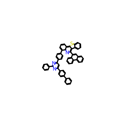 c1ccc(-c2ccc(-c3cc(-c4ccc(-c5cccc6c5nc(-c5cc7ccccc7c7ccccc57)c5c7ccccc7sc65)cc4)nc(-c4ccccc4)n3)cc2)cc1